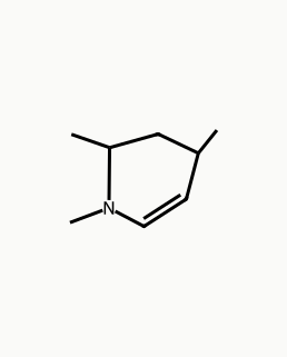 CC1C=CN(C)C(C)C1